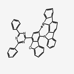 N#Cc1cc(-c2nc(-c3ccccc3)nc(-c3ccccc3)n2)c2oc3ccccc3c2c1-n1c2ccccc2c2ccc3c4ccccc4sc3c21